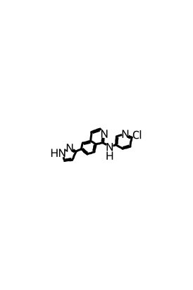 Clc1ccc(Nc2nccc3cc(-c4cc[nH]n4)ccc23)cn1